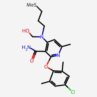 CSCCCN(CO)c1cc(C)nc(Oc2c(C)cc(Cl)cc2C)c1C(N)=O